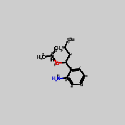 C[SiH](C)OC(CCC(C)(C)C)c1ccccc1N